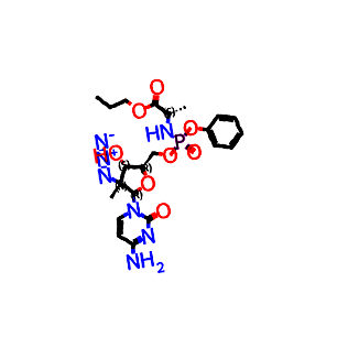 CCCOC(=O)[C@H](C)NP(=O)(OC[C@H]1O[C@@H](n2ccc(N)nc2=O)[C@](C)(N=[N+]=[N-])[C@@H]1O)Oc1ccccc1